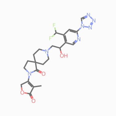 CC1=C(N2CCC3(CCN(CC(O)c4cnc(-n5cnnn5)cc4C(F)F)CC3)C2=O)COC1=O